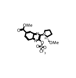 COC[C@H]1CCCN1c1nc2cc(C(=O)OC)ccc2nc1OS(=O)(=O)C(F)(F)F